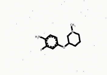 CN1CCCC(Oc2ccc(N)c(F)c2)C1